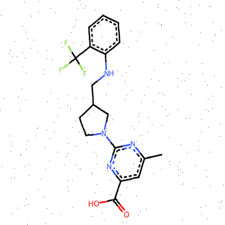 Cc1cc(C(=O)O)nc(N2CCC(CNc3ccccc3C(F)(F)F)C2)n1